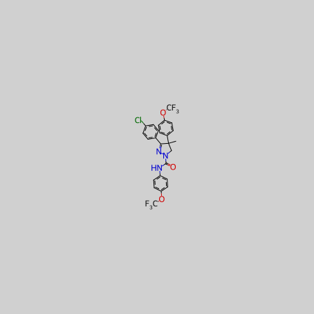 CC1(c2ccc(OC(F)(F)F)cc2)CN(C(=O)Nc2ccc(OC(F)(F)F)cc2)N=C1c1ccc(Cl)cc1